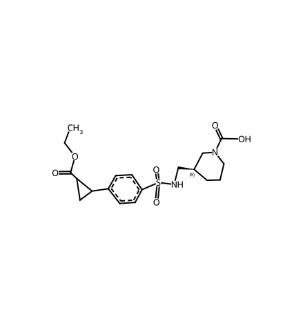 CCOC(=O)C1CC1c1ccc(S(=O)(=O)NC[C@@H]2CCCN(C(=O)O)C2)cc1